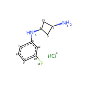 Cl.N[C@H]1C[C@@H](Nc2cccc(F)c2)C1